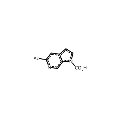 CC(=O)c1cc2ccn(C(=O)O)c2cn1